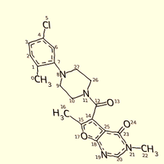 Cc1ccc(Cl)cc1N1CCN(C(=O)c2c(C)oc3ncn(C)c(=O)c23)CC1